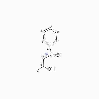 CC/C(=N\C(C)O)c1ccccc1